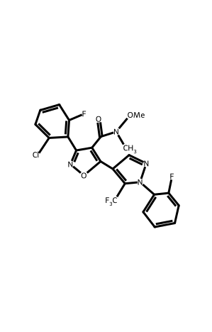 CON(C)C(=O)c1c(-c2c(F)cccc2Cl)noc1-c1cnn(-c2ccccc2F)c1C(F)(F)F